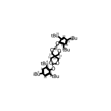 CCC(C)c1cc(C(C)(C)C)c(OP2OCC3(CO2)COP(Oc2c(C(C)(C)C)cc(C(C)CC)cc2C(C)(C)C)OC3)c(C(C)(C)C)c1